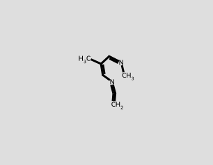 C=C=N/C=C(C)\C=N/C